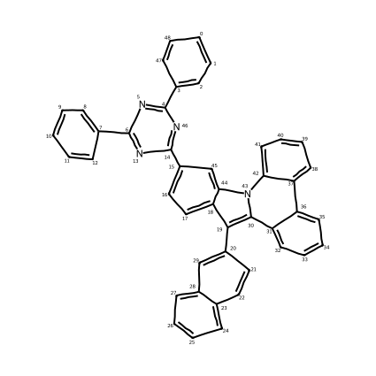 c1ccc(-c2nc(-c3ccccc3)nc(-c3ccc4c(-c5ccc6ccccc6c5)c5c6ccccc6c6ccccc6n5c4c3)n2)cc1